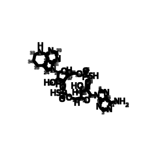 Nc1ncnc2c1ncn2[C@@H]1O[C@@H]2COP(=O)(S)O[C@H]3[C@@H](O)[C@H](n4cc5c6c(ncnc64)NCCC5)O[C@@H]3COP(=O)(S)O[C@@H]1[C@@H]2O